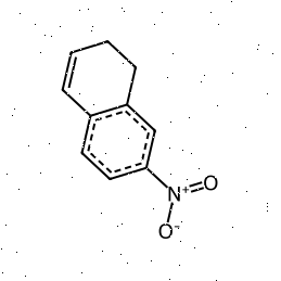 O=[N+]([O-])c1ccc2c(c1)CCC=C2